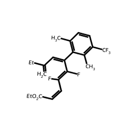 C=C(\C=C(/C(F)=C(F)/C=C\C(=O)OCC)c1c(C)ccc(C(F)(F)F)c1C)CC